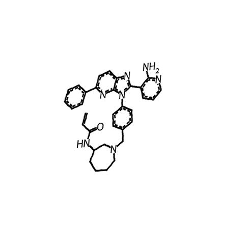 C=CC(=O)NC1CCCCN(Cc2ccc(-n3c(-c4cccnc4N)nc4ccc(-c5ccccc5)nc43)cc2)C1